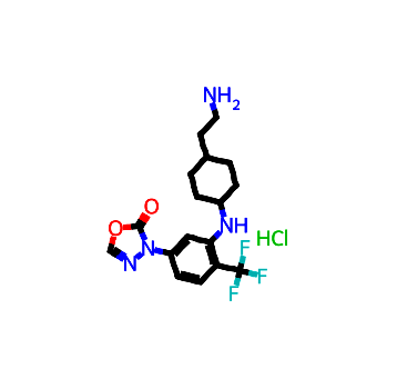 Cl.NCCC1CCC(Nc2cc(-n3ncoc3=O)ccc2C(F)(F)F)CC1